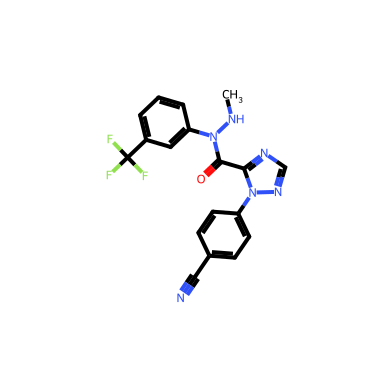 CNN(C(=O)c1ncnn1-c1ccc(C#N)cc1)c1cccc(C(F)(F)F)c1